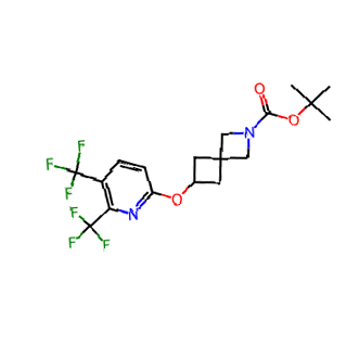 CC(C)(C)OC(=O)N1CC2(CC(Oc3ccc(C(F)(F)F)c(C(F)(F)F)n3)C2)C1